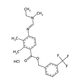 CCN(C)C=Nc1ccc(C(=O)OCc2cccc(C(F)(F)F)c2)c(C)c1C.Cl